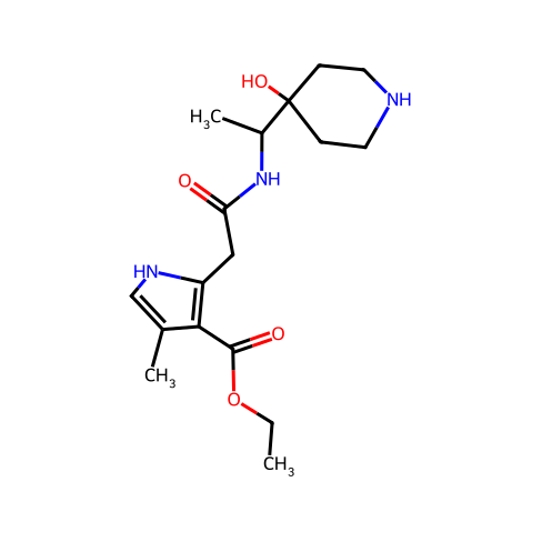 CCOC(=O)c1c(C)c[nH]c1CC(=O)NC(C)C1(O)CCNCC1